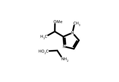 COC(C)c1nccn1C.NCC(=O)O